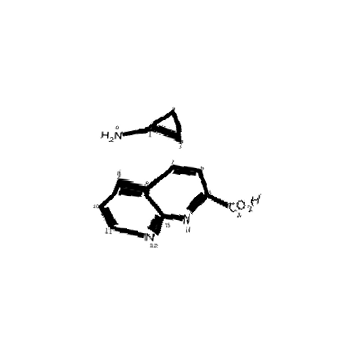 NC1CC1.O=C(O)c1ccc2cccnc2n1